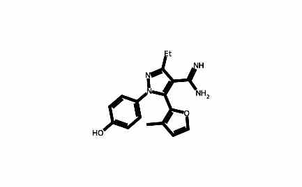 CCc1nn(-c2ccc(O)cc2)c(-c2occc2C)c1C(=N)N